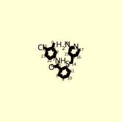 Cc1cc(NC(=O)c2ccccc2SCc2ccnc(N)c2)ccc1Cl